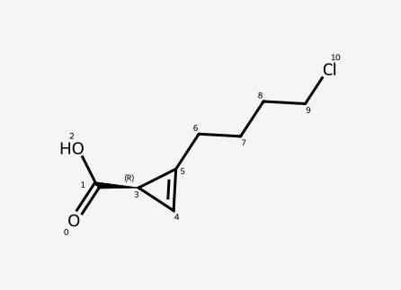 O=C(O)[C@@H]1C=C1CCCCCl